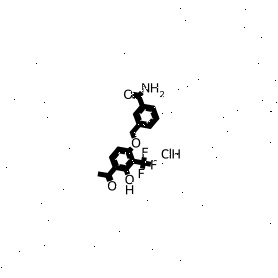 CC(=O)c1ccc(OCc2cccc(C(N)=O)c2)c(C(F)(F)F)c1O.Cl